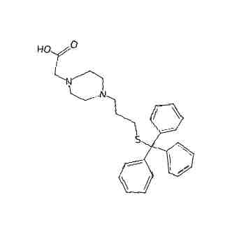 O=C(O)CN1CCN(CCCSC(c2ccccc2)(c2ccccc2)c2ccccc2)CC1